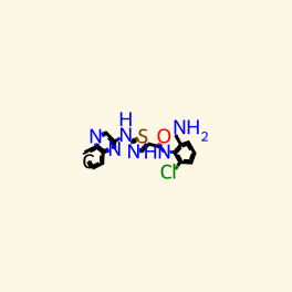 NCc1cccc(Cl)c1NC(=O)c1cnc(Nc2cnc3ccccc3n2)s1